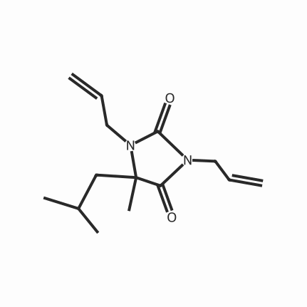 C=CCN1C(=O)N(CC=C)C(C)(CC(C)C)C1=O